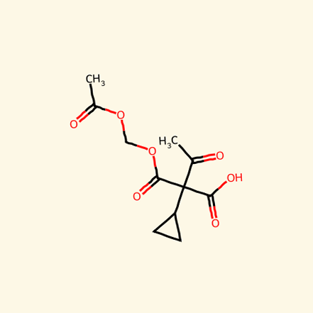 CC(=O)OCOC(=O)C(C(C)=O)(C(=O)O)C1CC1